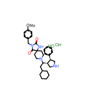 COc1ccc(CN2C(=O)NC3(CCN(C(CC4CCCCC4)[C@@H]4CNC[C@@H]4c4ccccc4)CC3)C2=O)cc1.Cl.Cl